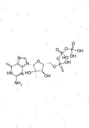 C=C1NC(N)=Nc2c1ncn2[C@@H]1O[C@H](COP(O)(=S)OP(=O)(O)OP(=O)(O)O)[C@@H](O)[C@@]1(C)O